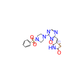 O=C1NC(=O)/C(=C\c2ncnc(N3CCN(S(=O)(=O)c4ccccc4)CC3)n2)S1